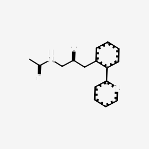 CC(=O)NCC(=O)Cc1ccccc1-c1ccccn1